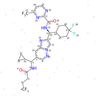 O=C(CCC(F)(F)F)NC(c1cnn2cc([C@@H](NC(=O)c3nccc(C(F)(F)F)n3)C3CCC(F)(F)CC3)nc2c1)C1CC1